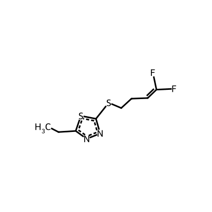 CCc1nnc(SCCC=C(F)F)s1